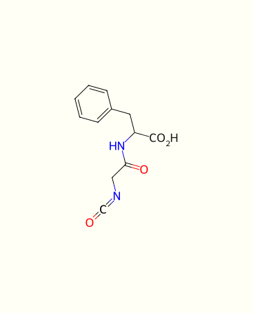 O=C=NCC(=O)NC(Cc1ccccc1)C(=O)O